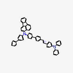 C(=C\c1ccc(N(c2ccccc2)c2ccccc2)cc1)/c1ccc(-c2ccc(N(c3ccc(-c4ccccc4)cc3)c3ccc4c5c(cccc35)-c3ccccc3-4)cc2)cc1